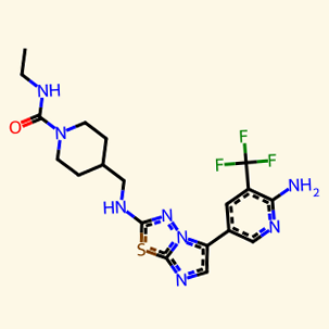 CCNC(=O)N1CCC(CNc2nn3c(-c4cnc(N)c(C(F)(F)F)c4)cnc3s2)CC1